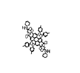 Cc1ccc(Oc2cc3c4c(cc(Oc5ccc(C)cc5)c5c6c(Oc7ccc(C)cc7)cc7c8c(cc(Oc9ccc(C)cc9)c(c2c45)c86)C(=O)N(CC(=O)NC2CCCCC2)C7=O)C(=O)N(CC(=O)NC2CCCCC2)C3=O)cc1